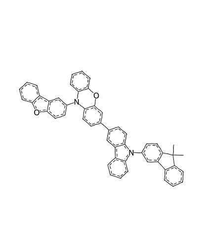 CC1(C)c2ccccc2-c2cc(-n3c4ccccc4c4cc(-c5ccc6c(c5)Oc5ccccc5N6c5ccc6oc7ccccc7c6c5)ccc43)ccc21